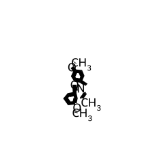 CCCN(Cc1ccc(OC)cc1)C(=O)c1cccc(OC)c1